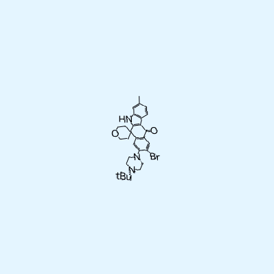 Cc1ccc2c3c([nH]c2c1)C1(CCOCC1)c1cc(N2CCN(C(C)(C)C)CC2)c(Br)cc1C3=O